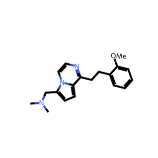 COc1ccccc1CCc1nccn2c(CN(C)C)ccc12